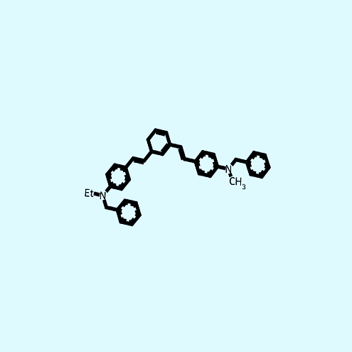 CCN(Cc1ccccc1)c1ccc(C=CC2C=C(C=Cc3ccc(N(C)Cc4ccccc4)cc3)C=CC2)cc1